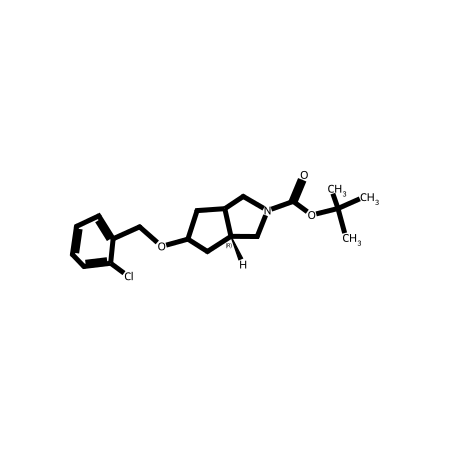 CC(C)(C)OC(=O)N1CC2CC(OCc3ccccc3Cl)C[C@H]2C1